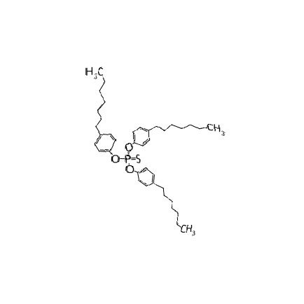 CCCCCCCc1ccc(OP(=S)(Oc2ccc(CCCCCCC)cc2)Oc2ccc(CCCCCCC)cc2)cc1